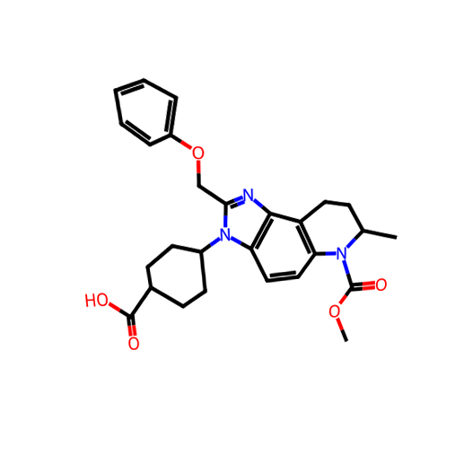 COC(=O)N1c2ccc3c(nc(COc4ccccc4)n3C3CCC(C(=O)O)CC3)c2CCC1C